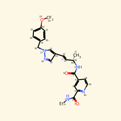 CCNC(=O)c1cc(C(=O)N[C@@H](C)/C=C/c2cnn(Cc3ccc(OC(F)(F)F)cc3)c2)ccn1